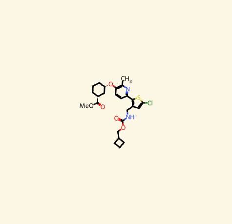 COC(=O)[C@H]1CCC[C@H](Oc2ccc(-c3sc(Cl)cc3CNC(=O)OCC3CCC3)nc2C)C1